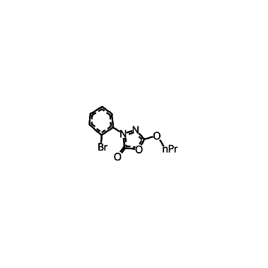 CCCOc1nn(-c2ccccc2Br)c(=O)o1